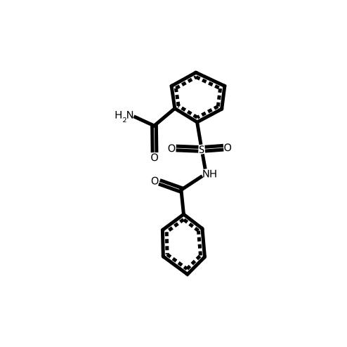 NC(=O)c1ccccc1S(=O)(=O)NC(=O)c1ccccc1